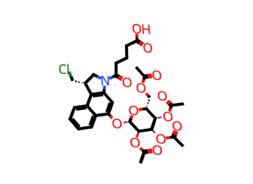 CC(=O)OC[C@H]1O[C@@H](Oc2cc3c(c4ccccc24)[C@H](CCl)CN3C(=O)CCCC(=O)O)[C@H](OC(C)=O)[C@@H](OC(C)=O)[C@H]1OC(C)=O